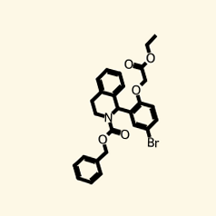 CCOC(=O)COc1ccc(Br)cc1C1c2ccccc2CCN1C(=O)OCc1ccccc1